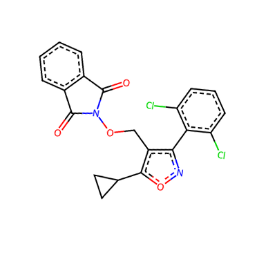 O=C1c2ccccc2C(=O)N1OCc1c(-c2c(Cl)cccc2Cl)noc1C1CC1